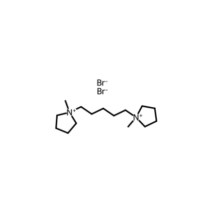 C[N+]1(CCCCC[N+]2(C)CCCC2)CCCC1.[Br-].[Br-]